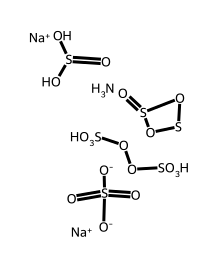 N.O=S(=O)(O)OOS(=O)(=O)O.O=S(=O)([O-])[O-].O=S(O)O.O=S1OSO1.[Na+].[Na+]